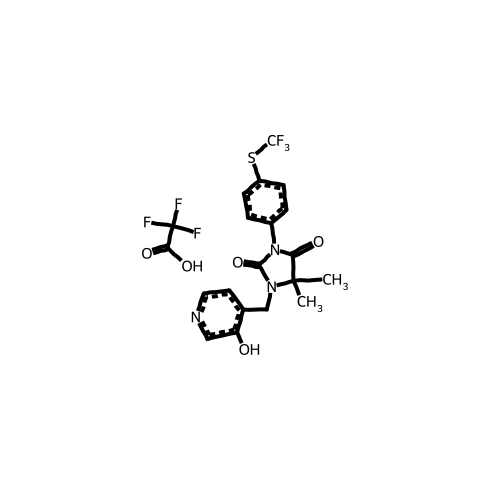 CC1(C)C(=O)N(c2ccc(SC(F)(F)F)cc2)C(=O)N1Cc1ccncc1O.O=C(O)C(F)(F)F